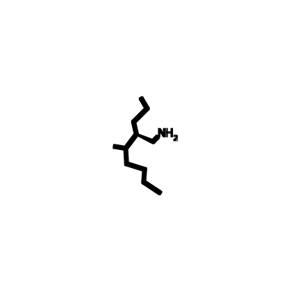 CCCCC(C)[C@H](CN)CCC